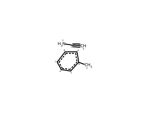 C#CN.Cc1ccccc1